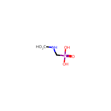 O=C(O)NCP(=O)(O)O